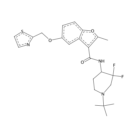 Cc1oc2ccc(OCc3nccs3)cc2c1C(=O)NC1CCN(C(C)(C)C)CC1(F)F